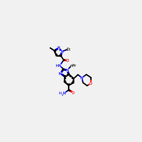 CCCn1c(NC(=O)c2cc(C)nn2CC)nc2cc(C(N)=O)cc(CN3CCOCC3)c21